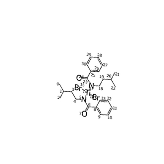 CC(C)CC[N](C(=O)c1ccccc1)[Ti]([Br])([Br])[N](CCC(C)C)C(=O)c1ccccc1